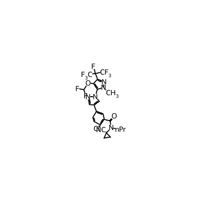 CCCN(C(=O)c1cc(-c2cnn(-c3c(OC(F)F)c(C(F)(C(F)(F)F)C(F)(F)F)nn3C)c2)ccc1Cl)C1(C#N)CC1